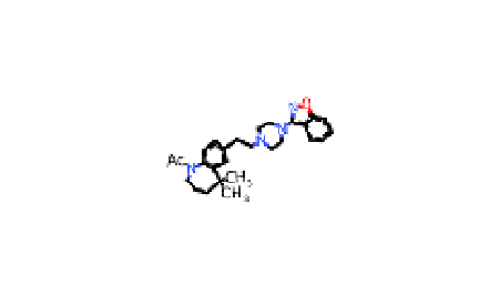 CC(=O)N1CCCC(C)(C)c2cc(CCN3CCN(c4noc5ccccc45)CC3)ccc21